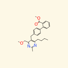 CCCCc1nc(C)nc(COC)c1Cc1ccc(-c2ccccc2C(=O)OC)cc1